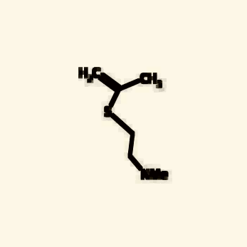 C=C(C)SCCNC